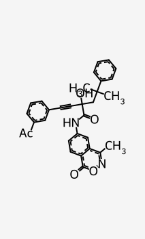 CC(=O)c1cccc(C#CC(O)(CC(C)(C)c2ccccc2)C(=O)Nc2ccc3c(=O)onc(C)c3c2)c1